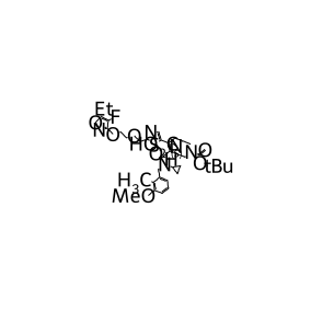 CCc1onc(OCCOCc2ncc(C3=C(C(=O)N(Cc4cccc(OC)c4C)C4CC4)[C@H]4CN(C(=O)OC(C)(C)C)CC(C3)N4C(=O)O)s2)c1F